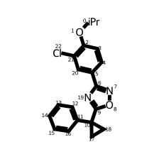 CC(C)Oc1ccc(-c2noc(C3(c4ccccc4)CC3)n2)cc1Cl